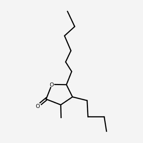 CCCCCCC1OC(=O)C(C)C1CCCC